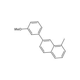 COc1cccc(-c2ccc3cccc(C)c3c2)c1